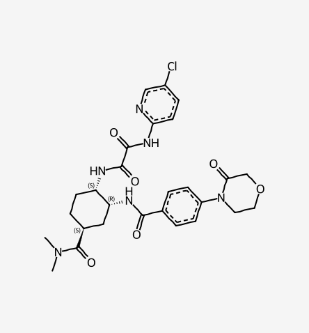 CN(C)C(=O)[C@H]1CC[C@H](NC(=O)C(=O)Nc2ccc(Cl)cn2)[C@H](NC(=O)c2ccc(N3CCOCC3=O)cc2)C1